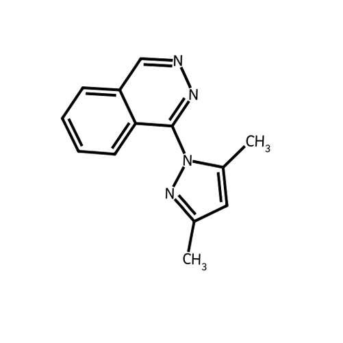 Cc1cc(C)n(-c2nncc3ccccc23)n1